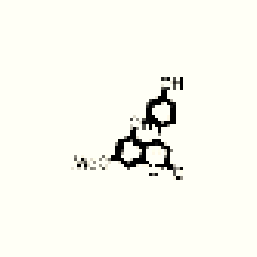 COc1cc(O)c2c(c1)OC(=O)C[C@@H]2c1ccc(O)cc1